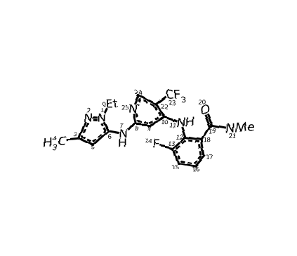 CCn1nc(C)cc1Nc1cc(Nc2c(F)cccc2C(=O)NC)c(C(F)(F)F)cn1